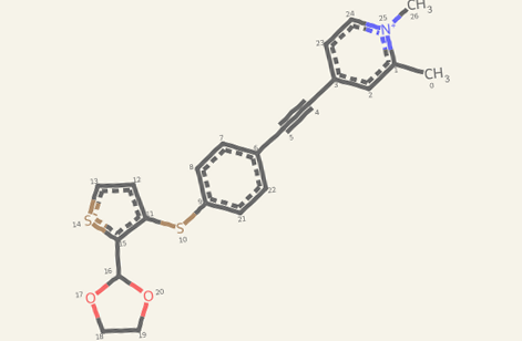 Cc1cc(C#Cc2ccc(Sc3ccsc3C3OCCO3)cc2)cc[n+]1C